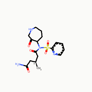 C[C@@H](CC(N)=O)CC(=O)N(C1CCCNCC1=O)S(=O)(=O)c1ccccn1